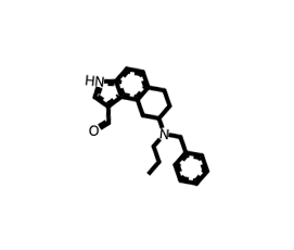 CCCN(Cc1ccccc1)C1CCc2ccc3[nH]cc(C=O)c3c2C1